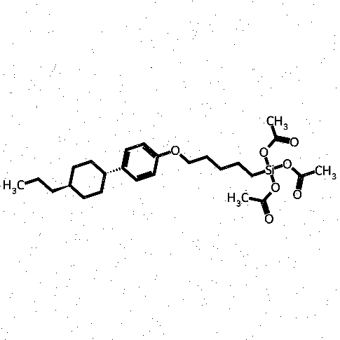 CCC[C@H]1CC[C@H](c2ccc(OCCCCC[Si](OC(C)=O)(OC(C)=O)OC(C)=O)cc2)CC1